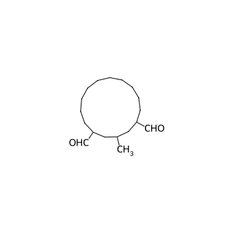 CC1CC(C=O)CCCCCCCCCCC(C=O)C1